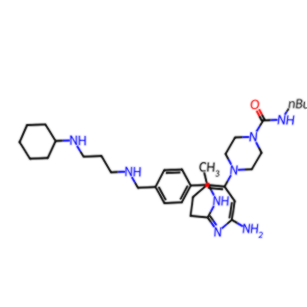 CCCCNC(=O)N1CCN(C2=C(\C)CC/C(NCc3ccc(CNCCCNC4CCCCC4)cc3)=N/C(N)=C\2)CC1